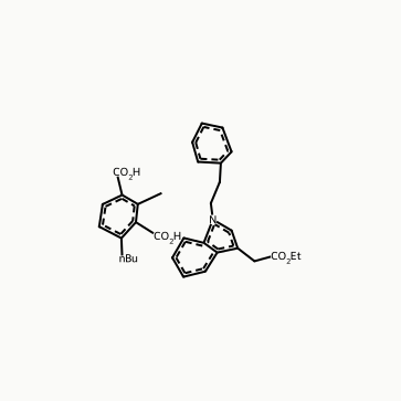 CCCCc1ccc(C(=O)O)c(C)c1C(=O)O.CCOC(=O)Cc1cn(CCc2ccccc2)c2ccccc12